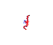 CCCCC/C=C\C/C=C\C/C=C\C/C=C\CCCC(=O)OCC(COC(=O)CCC/C=C\C/C=C\C/C=C\C/C=C\CCCCC)NC(=O)CCCN(C)C